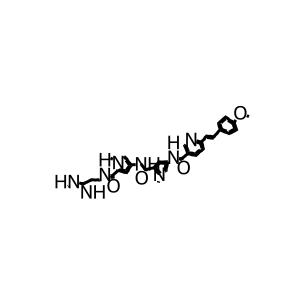 CNC(=N)CCNC(=O)c1cc(NC(=O)c2cc(NC(=O)c3ccc(C=Cc4ccc(OC)cc4)nc3)cn2C)cn1C